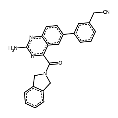 N#CCc1cccc(-c2ccc3nc(N)nc(C(=O)N4Cc5ccccc5C4)c3c2)c1